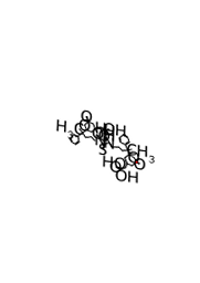 CC(CCCNC(=S)NCCCC(C)(c1ccccc1)C1CC(O)(CC(=O)O)CC(=O)O1)(c1ccccc1)C1CC(O)(CC(=O)O)CC(=O)O1